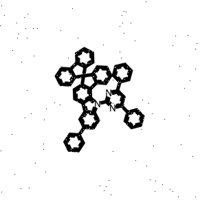 c1ccc(-c2ccc3c(c2)c2ccc4c(c2n3-c2nc(-c3ccccc3)cc(-c3ccccc3)n2)-c2ccccc2C42c3ccccc3-c3ccccc32)cc1